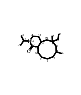 CCC1(C)CC(C)CCCCC2C(=O)N(C(C)C)CCC2C1